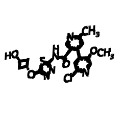 COc1cnc(Cl)cc1-c1cc(C)ncc1C(=O)Nc1nnc(O[C@H]2C[C@H](O)C2)s1